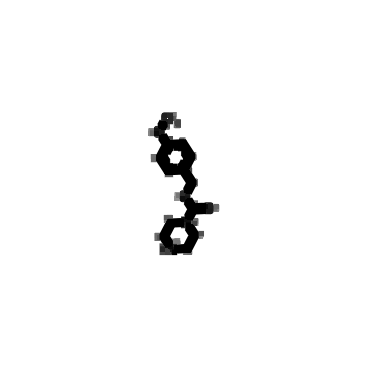 O=C(OCc1ccc(OC(F)(F)F)cc1)N1CCNCC1